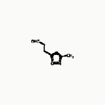 Cc1cc(CCC=O)on1